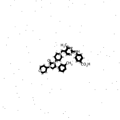 Cc1cccc([C@@H]2CN(C3CCOCC3)C(=O)N2C2CCN(Cc3cnc(Nc4ccc(C(=O)O)cc4)nc3C)CC2)c1